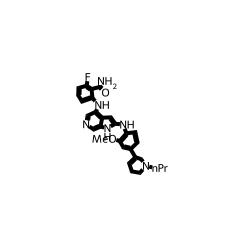 CCCN1CCC=C(c2ccc(Nc3cc4c(Nc5cccc(F)c5C(N)=O)cncc4[nH]3)c(OC)c2)C1